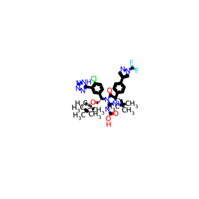 CC(C)(C)C[C@]1(c2ccc(-c3cnn(C(F)F)c3)cc2)N/C(=N\C(=O)O)N([C@H](CO[Si](C)(C)C(C)(C)C)c2ccc(Cl)c(-c3nnn[nH]3)c2)C1=O